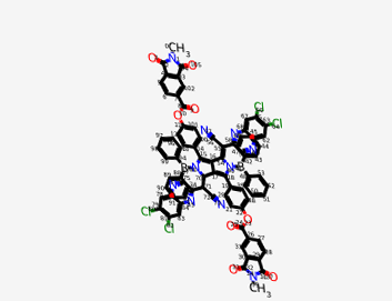 CN1C(=O)c2ccc(C(=O)Oc3ccc(C4=c5c(c(-c6ccc(OC(=O)c7ccc8c(c7)C(=O)N(C)C8=O)cc6)n(B(c6ccccc6)c6ccccc6)/c5=C(/C#N)c5cnc6cc(Cl)c(Cl)cc6n5)C(C(C#N)c5cnc6cc(Cl)c(Cl)cc6n5)N4B(c4ccccc4)c4ccccc4)cc3)cc2C1=O